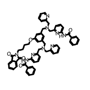 O=C(Nc1cccc(CN(Cc2cc(CN(Cc3ccccn3)Cc3cccc(NC(=O)c4ccccc4)n3)cc(OCCCCN3C(=O)c4ccccc4C3=O)c2)Cc2ccccn2)n1)c1ccccc1